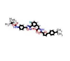 CC(C)c1ccc(-c2ccc(C(=O)NC(Cc3ccc(F)c(-c4noc(-c5ccc(NC(=O)OC(C)(C)C)cc5)n4)c3)C(=O)O)o2)cc1